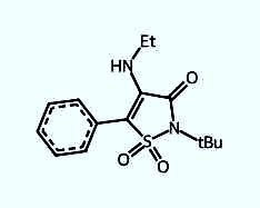 [CH2]CNC1=C(c2ccccc2)S(=O)(=O)N(C(C)(C)C)C1=O